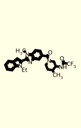 CCn1c(-c2nc3cc(C(=O)N4CCC(C)C(NC(=O)C(F)(F)F)C4)ccc3n2C)cc2ccccc21